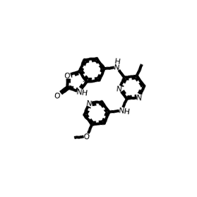 COc1cncc(Nc2ncc(C)c(Nc3ccc4oc(=O)[nH]c4c3)n2)c1